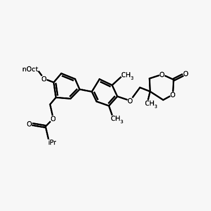 CCCCCCCCOc1ccc(-c2cc(C)c(OCC3(C)COC(=O)OC3)c(C)c2)cc1COC(=O)C(C)C